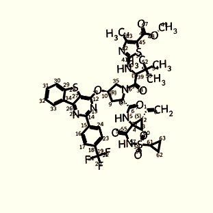 C=C[C@@H]1C[C@]1(NC(=O)[C@@H]1C[C@@H](Oc2nc(-c3ccc(C(F)(F)F)cc3)nc3c2sc2ccccc23)CN1C(=O)[C@@H](Nc1nc(C)c(C(=O)OC)s1)C(C)(C)C)C(=O)NS(=O)(=O)C1CC1